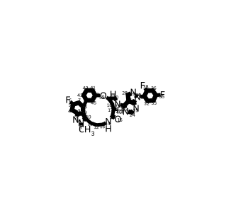 Cn1nc2cc(F)cc3c2c1CCCNC(=O)[C@@H]1C[C@@H](CN1c1ncnc2c1cnn2-c1ccc(F)cc1F)Oc1cccc-3c1